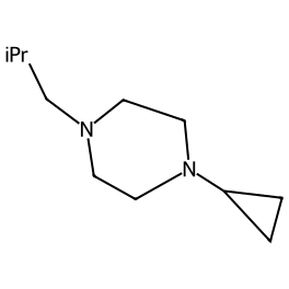 CC(C)CN1CCN(C2CC2)CC1